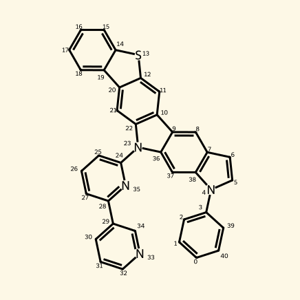 c1ccc(-n2ccc3cc4c5cc6sc7ccccc7c6cc5n(-c5cccc(-c6cccnc6)n5)c4cc32)cc1